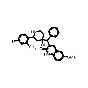 CSc1ccc2[nH]c(=O)c(C(c3ccccc3)C3(O)CCNC(c4ccc(F)cc4C)C3)cc2c1